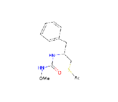 CONC(=O)NC(CSC(C)=O)Cc1ccccc1